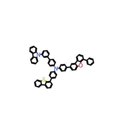 c1ccc(-c2cccc3c2oc2ccc(-c4ccc(N(c5ccc(-c6cccc(-n7c8ccccc8c8ccccc87)c6)cc5)c5ccc(-c6cccc7c6sc6ccccc67)cc5)cc4)cc23)cc1